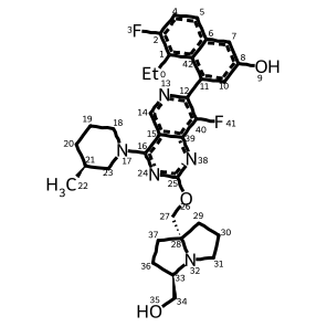 CCc1c(F)ccc2cc(O)cc(-c3ncc4c(N5CCC[C@H](C)C5)nc(OC[C@]56CCCN5[C@@H](CO)CC6)nc4c3F)c12